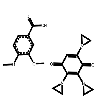 COc1ccc(C(=O)O)cc1OC.O=C1C=C(N2CC2)C(=O)C(N2CC2)=C1N1CC1